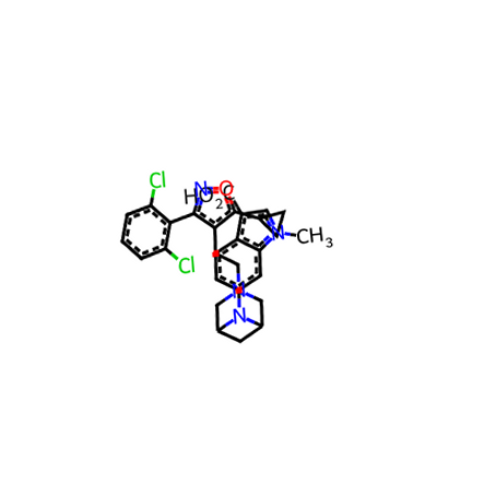 Cn1cc(C(=O)O)c2ccc(N3C4CC3CN(CCc3c(-c5c(Cl)cccc5Cl)noc3C3CC3)C4)cc21